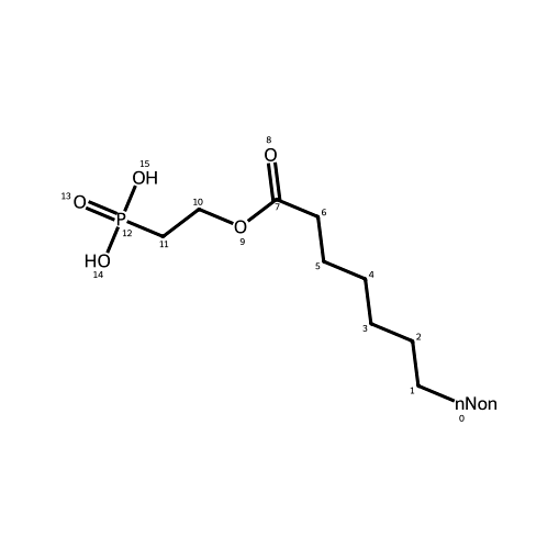 CCCCCCCCCCCCCCCC(=O)OCCP(=O)(O)O